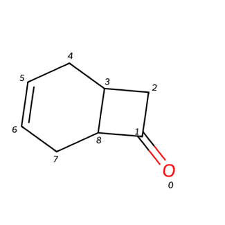 O=C1CC2CC=CCC12